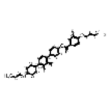 CCCCOc1ccc(C(=O)Oc2ccc(-c3ccc(C4CCC(OCCC)CC4)c(F)c3F)cc2)cc1F